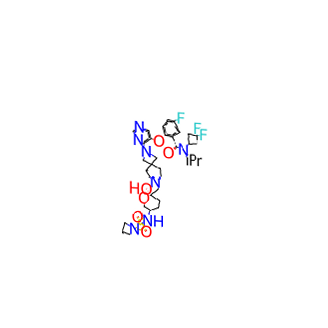 CC(C)N(C(=O)c1cc(F)ccc1Oc1cncnc1N1CC2(CCN(C[C@@]3(O)CC[C@@H](NS(=O)(=O)N4CCC4)CO3)CC2)C1)C1CC(F)(F)C1